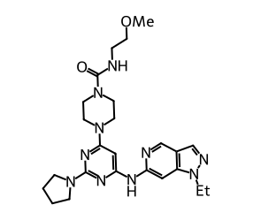 CCn1ncc2cnc(Nc3cc(N4CCN(C(=O)NCCOC)CC4)nc(N4CCCC4)n3)cc21